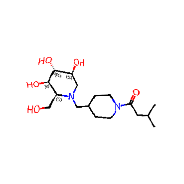 CC(C)CC(=O)N1CCC(CN2C[C@H](O)[C@@H](O)[C@H](O)[C@@H]2CO)CC1